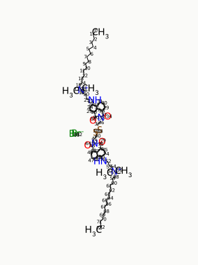 CCCCCCCCCCCCCCCC[N+](C)(C)CCCNc1ccc2c3c(cccc13)C(=O)N(CCSSCCN1C(=O)c3cccc4c(NCCC[N+](C)(C)CCCCCCCCCCCCCCCC)ccc(c34)C1=O)C2=O.[Br-].[Br-]